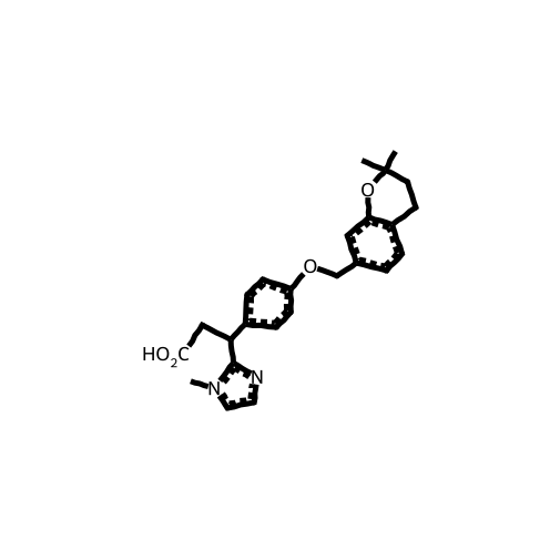 Cn1ccnc1C(CC(=O)O)c1ccc(OCc2ccc3c(c2)OC(C)(C)CC3)cc1